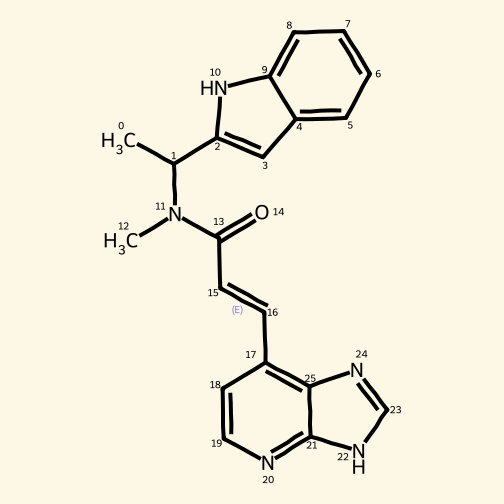 CC(c1cc2ccccc2[nH]1)N(C)C(=O)/C=C/c1ccnc2[nH]cnc12